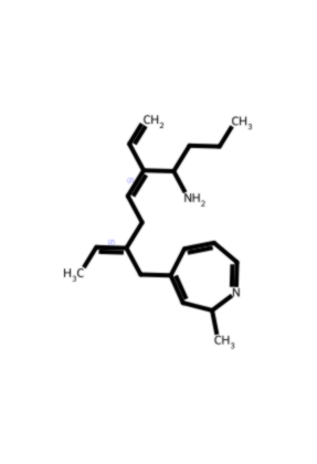 C=C/C(=C/C/C(=C/C)CC1=CC(C)N=CC=C1)C(N)CCC